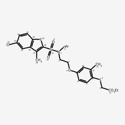 CCCN(CCOc1ccc(SCC(=O)OCC)c(C)c1)S(=O)(=O)c1sc2ccc(Cl)cc2c1C